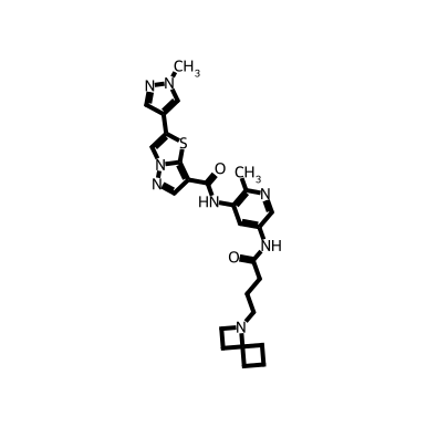 Cc1ncc(NC(=O)CCCN2CCC23CCC3)cc1NC(=O)c1cnn2cc(-c3cnn(C)c3)sc12